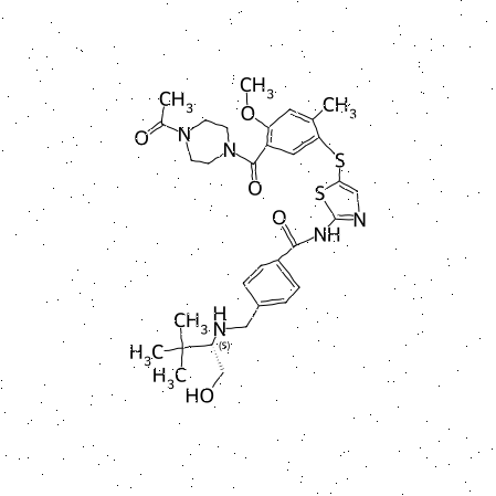 COc1cc(C)c(Sc2cnc(NC(=O)c3ccc(CN[C@H](CO)C(C)(C)C)cc3)s2)cc1C(=O)N1CCN(C(C)=O)CC1